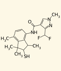 Cc1ccc(NC(=O)c2cn(C)nc2C(F)F)c2c1C(C)(C)C(S)C2C